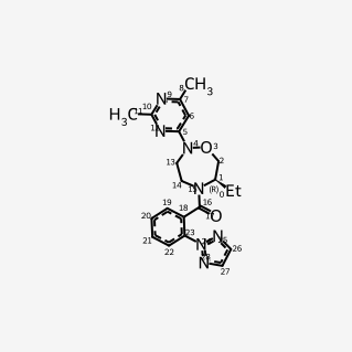 CC[C@@H]1CON(c2cc(C)nc(C)n2)CCN1C(=O)c1ccccc1-n1nccn1